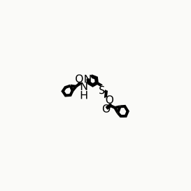 O=C(Nc1cc(CSCCOC(=O)C2C3CCCCC32)ccn1)C1C2CCCCC21